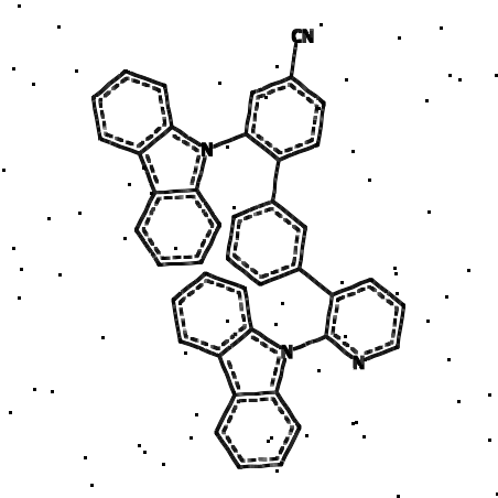 N#Cc1ccc(-c2cccc(-c3cccnc3-n3c4ccccc4c4ccccc43)c2)c(-n2c3ccccc3c3ccccc32)c1